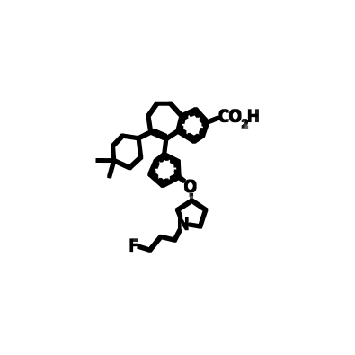 CC1(C)CCC(C2=C(c3cccc(O[C@@H]4CCN(CCCF)C4)c3)c3ccc(C(=O)O)cc3CCC2)CC1